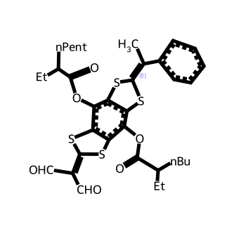 CCCCCC(CC)C(=O)Oc1c2c(c(OC(=O)C(CC)CCCC)c3c1S/C(=C(\C)c1ccccc1)S3)SC(=C(C=O)C=O)S2